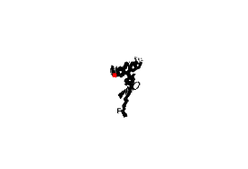 C#CCN(CCCCCC(F)C#C)C(=O)c1ccc(C2=c3cc4c(cc3[Si](C)(C)c3cc5c(cc32)CCN5C)=[N+](C)CC4)c(C)c1